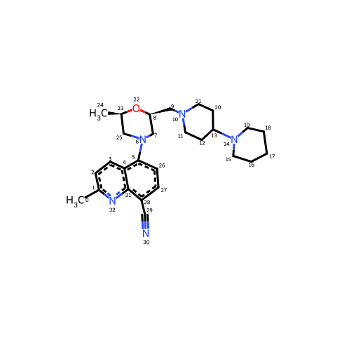 Cc1ccc2c(N3C[C@H](CN4CCC(N5CCCCC5)CC4)O[C@H](C)C3)ccc(C#N)c2n1